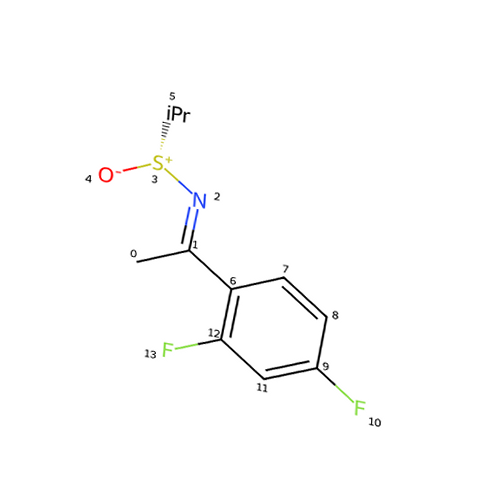 C/C(=N\[S@+]([O-])C(C)C)c1ccc(F)cc1F